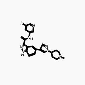 C=C(Nc1cncc(F)c1)c1n[nH]c2ccc(-c3cnn(C4CCN(C)CC4)c3)cc12